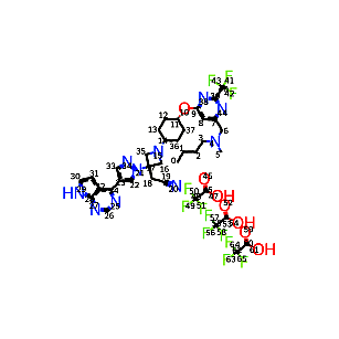 CCCCN(C)Cc1cc(O[C@H]2CC[C@@H](N3CC(CC#N)(n4cc(-c5ncnc6[nH]ccc56)cn4)C3)CC2)nc(C(F)(F)F)n1.O=C(O)C(F)(F)F.O=C(O)C(F)(F)F.O=C(O)C(F)(F)F